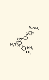 Cc1ccc(-c2cc(Nc3cccc(Oc4ccnc(C(N)=O)c4)c3)nc(N)n2)cc1N